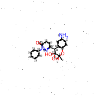 CC1(C)Oc2ccc(N)cc2C(c2ccc(=O)n(-c3ccccc3)n2)C1(O)O